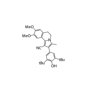 COc1cc2c(cc1OC)-c1c(C#N)c(-c3cc(C(C)(C)C)c(O)c(C(C)(C)C)c3)c(C)n1CC2